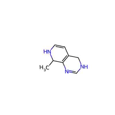 CC1NC=CC2=C1N=CNC2